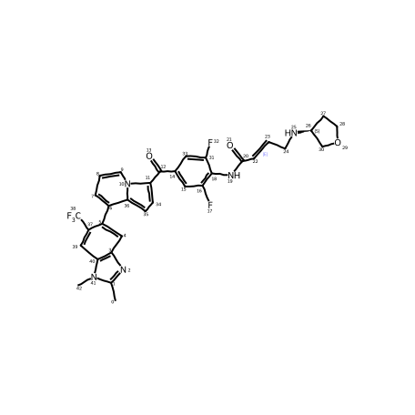 Cc1nc2cc(-c3cccn4c(C(=O)c5cc(F)c(NC(=O)/C=C/CN[C@H]6CCOC6)c(F)c5)ccc34)c(C(F)(F)F)cc2n1C